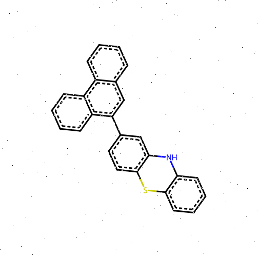 c1ccc2c(c1)Nc1cc(-c3cc4ccccc4c4ccccc34)ccc1S2